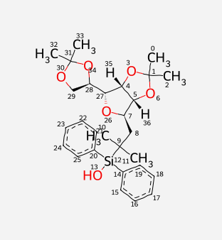 CC1(C)O[C@@H]2[C@H](O1)[C@@H](CC(C)(C)[Si](O)(c1ccccc1)c1ccccc1)O[C@@H]2[C@H]1COC(C)(C)O1